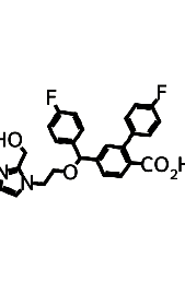 O=C(O)c1ccc(C(OCCn2ccnc2CO)c2ccc(F)cc2)cc1-c1ccc(F)cc1